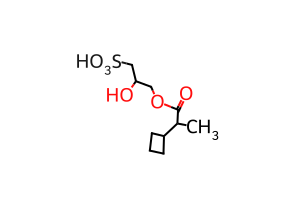 CC(C(=O)OCC(O)CS(=O)(=O)O)C1CCC1